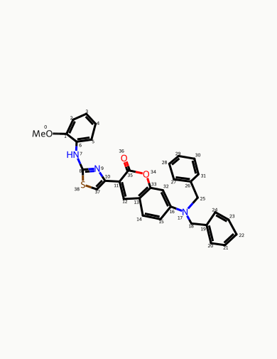 COc1ccccc1Nc1nc(-c2cc3ccc(N(Cc4ccccc4)Cc4ccccc4)cc3oc2=O)cs1